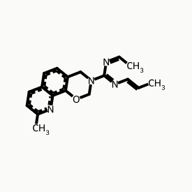 C\C=N/C(=N\C=C\C)N1COc2c(ccc3ccc(C)nc23)C1